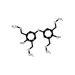 COCc1cc(Sc2cc(COC)c(O)c(COC)c2)cc(COC)c1O